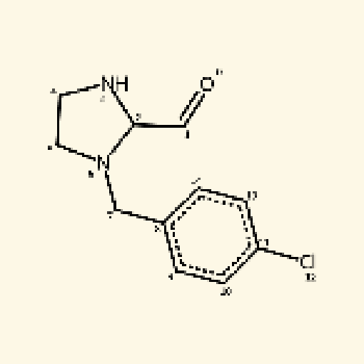 O=CC1NCCN1Cc1ccc(Cl)cc1